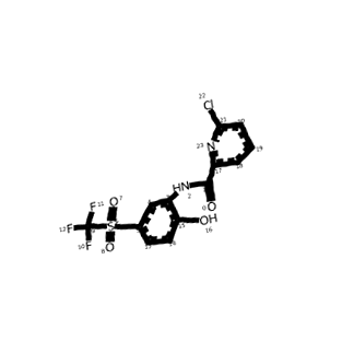 O=C(Nc1cc(S(=O)(=O)C(F)(F)F)ccc1O)c1cccc(Cl)n1